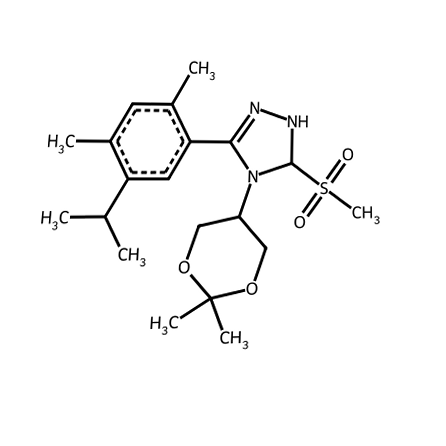 Cc1cc(C)c(C(C)C)cc1C1=NNC(S(C)(=O)=O)N1C1COC(C)(C)OC1